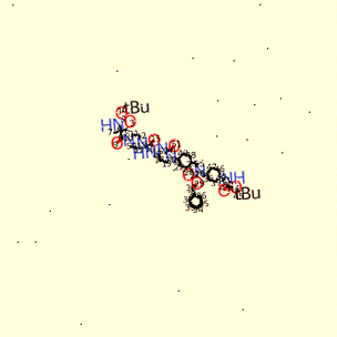 CC(C)(C)OC(=O)NC(C)(C)C(=O)N1CCN(C(=O)Nc2ccn(C3=CCC(CN(C(=O)OCc4ccccc4)[C@H]4CC[C@H](NC(=O)OC(C)(C)C)CC4)CC3)c(=O)n2)CC1